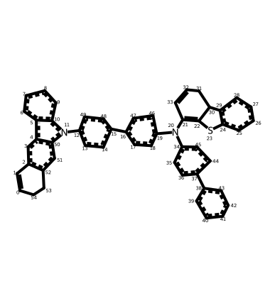 C1=Cc2cc3c4ccccc4n(-c4ccc(-c5ccc(N(C6=C7Sc8ccccc8C7CC=C6)c6ccc(-c7ccccc7)cc6)cc5)cc4)c3cc2CC1